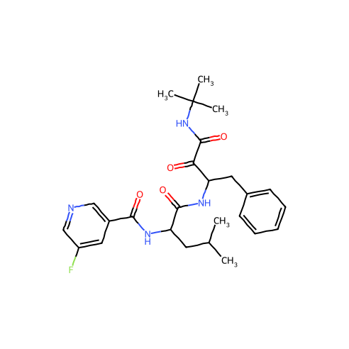 CC(C)CC(NC(=O)c1cncc(F)c1)C(=O)NC(Cc1ccccc1)C(=O)C(=O)NC(C)(C)C